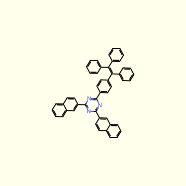 c1ccc(C(=C(c2ccccc2)c2ccc(-c3nc(-c4ccc5ccccc5c4)nc(-c4ccc5ccccc5c4)n3)cc2)c2ccccc2)cc1